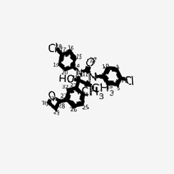 CC1(C)N(c2ccc(Cl)cc2)C(=O)N(c2ccc(Cl)cc2)C1(O)c1cccc(C2CCO2)c1